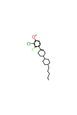 CCCCCC1CCC(C2CC=C(c3ccc(OC)c(Cl)c3F)CC2)CC1